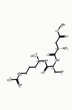 CC(C)C[C@H](NC(=O)[C@@H](N)CC(=O)OC(C)(C)C)C(=O)N[C@@H](CCCNC(=N)N)C(=O)O